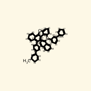 C[C@@H]1C=C(c2ccc(-c3cc4c(oc5cccc(N(c6cccc(-c7ccccc7)c6)c6cccc7ccccc67)c54)c4ccccc34)cc2)C=CC1